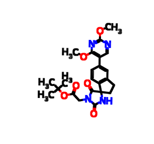 COc1ncc(-c2ccc3c(c2)CCC32NC(=O)N(CC(=O)OC(C)(C)C)C2=O)c(OC)n1